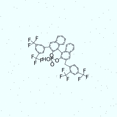 O=P1(O)Oc2c(Cc3ccc(C(F)(F)F)cc3C(F)(F)F)cc3ccccc3c2-c2c(c(-c3cc(C(F)(F)F)cc(C(F)(F)F)c3)cc3ccccc23)O1